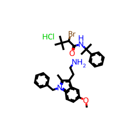 CC(C)(NC(=O)C(Br)C(C)(C)C)c1ccccc1.COc1ccc2c(c1)c(CCN)c(C)n2Cc1ccccc1.Cl